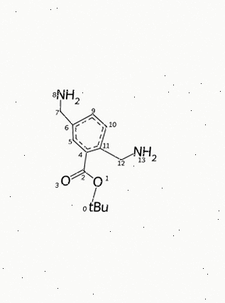 CC(C)(C)OC(=O)c1cc(CN)ccc1CN